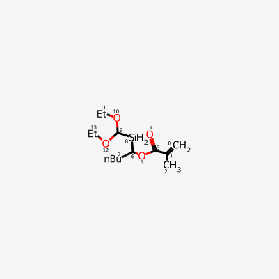 C=C(C)C(=O)OC(CCCC)[SiH2]C(OCC)OCC